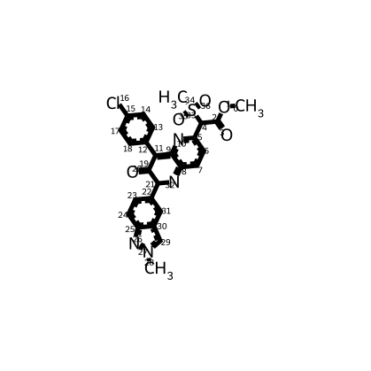 COC(=O)C(c1ccc2c(n1)=C(c1ccc(Cl)cc1)C(=O)C(c1ccc3nn(C)cc3c1)N=2)S(C)(=O)=O